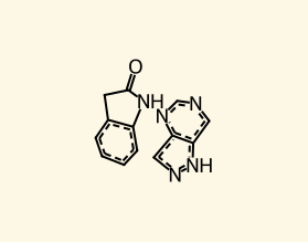 O=C1Cc2ccccc2N1.c1ncc2[nH]ncc2n1